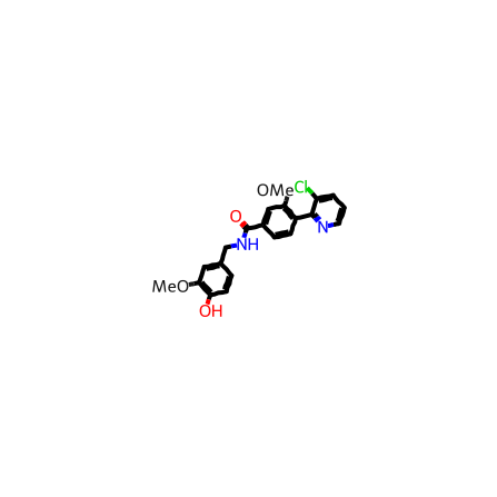 COc1cc(CNC(=O)c2ccc(-c3ncccc3Cl)c(OC)c2)ccc1O